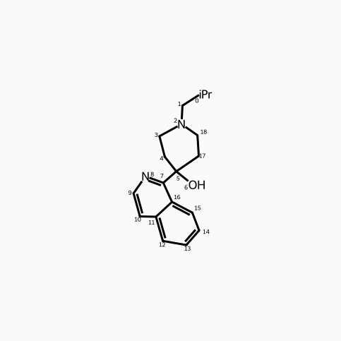 CC(C)CN1CCC(O)(c2nccc3ccccc23)CC1